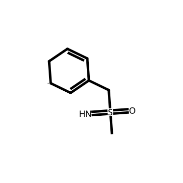 CS(=N)(=O)CC1=C[CH]CC=C1